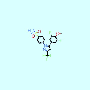 COc1c(F)cc(-c2cc(C(F)(F)F)nn2-c2ccc(S(N)(=O)=O)cc2)cc1F